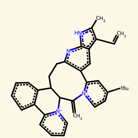 C=Cc1c(C)[nH]c2nc3c(cc12)-c1cc(C(C)(C)C)cc[n+]1C(=C)C1C(CC3)c2ccccc2-c2cccc[n+]21